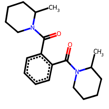 CC1CCCCN1C(=O)c1ccccc1C(=O)N1CCCCC1C